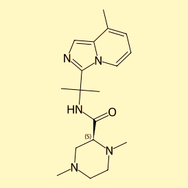 Cc1cccn2c(C(C)(C)NC(=O)[C@@H]3CN(C)CCN3C)ncc12